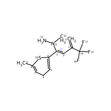 C=C(/C=C(/C1=CCC=C(C)S1)N(C)N)C(F)(F)F